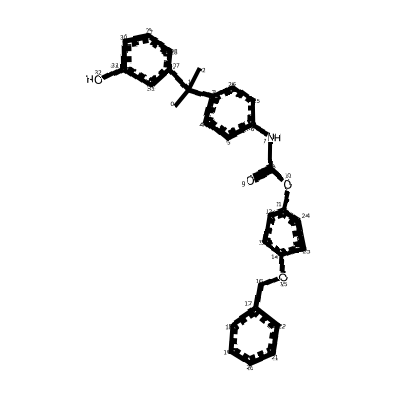 CC(C)(c1ccc(NC(=O)Oc2ccc(OCc3ccccc3)cc2)cc1)c1cccc(O)c1